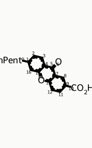 CCCCCc1ccc2c(=O)c3cc(C(=O)O)ccc3oc2c1